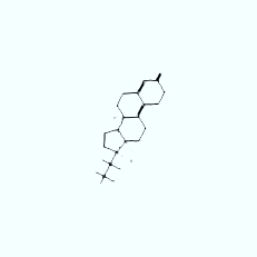 C[C@]12CCC3=C4CCC(=O)C=C4CC[C@H]3[C@@H]1CC[C@@]2(O)C(F)(F)C(F)(F)F